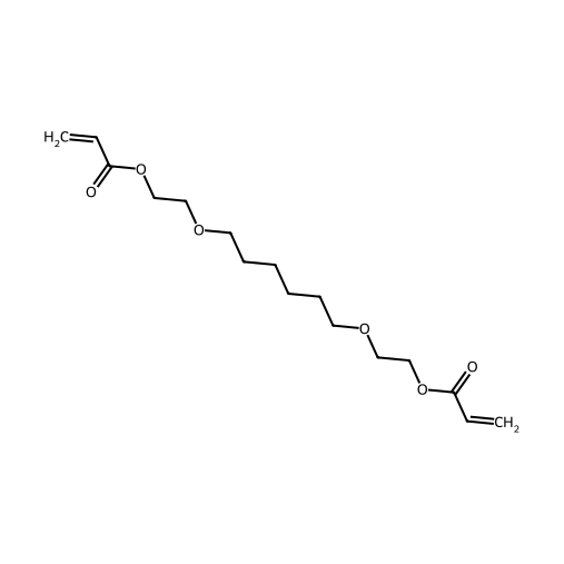 C=CC(=O)OCCOCCCCCCOCCOC(=O)C=C